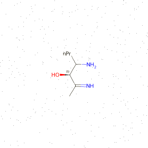 CCCC(N)[C@H](O)C(C)=N